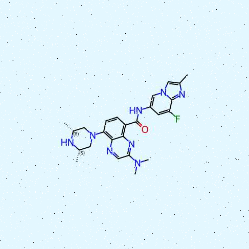 Cc1cn2cc(NC(=O)c3ccc(N4C[C@@H](C)N[C@@H](C)C4)c4ncc(N(C)C)nc34)cc(F)c2n1